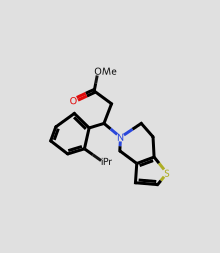 COC(=O)CC(c1ccccc1C(C)C)N1CCc2sccc2C1